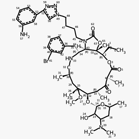 CC[C@H]1OC(=O)[C@H](C)C(=O)[C@H](C)[C@@H](O[C@@H]2OC(C)CC(N(C)C)C2O)[C@](C)(OC)C[C@@H](C)CN[C@H](Cc2cccc(Br)c2)[C@H]2N(CCCCn3cc(-c4cccc(N)c4)nn3)C(=O)O[C@]12C